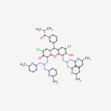 Cc1cccc(CN(Cc2cccc(C)n2)Cc2c3oc4c(CN(Cc5cccc(C)n5)Cc5cccc(C)n5)c(O)c(Cl)cc4c(-c4cccc(C(=O)C(C)C)c4)c-3cc(Cl)c2=O)n1